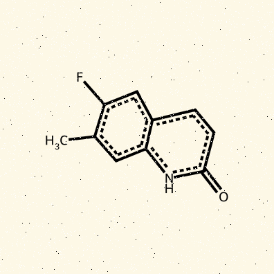 Cc1cc2[nH]c(=O)ccc2cc1F